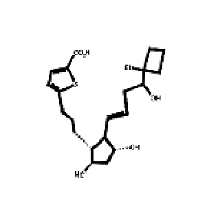 CCC1(C(O)C/C=C/C2[C@H](O)C[C@@H](C#N)[C@@H]2CCCc2ccc(C(=O)O)s2)CCC1